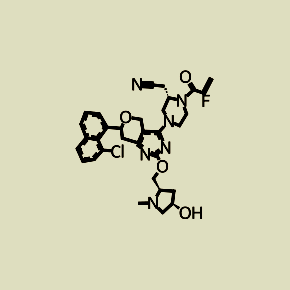 C=C(F)C(=O)N1CCN(c2nc(OC[C@H]3C[C@@H](O)CN3C)nc3c2COC(c2cccc4cccc(Cl)c24)C3)C[C@@H]1CC#N